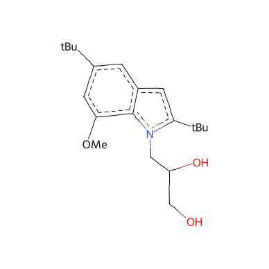 COc1cc(C(C)(C)C)cc2cc(C(C)(C)C)n(CC(O)CO)c12